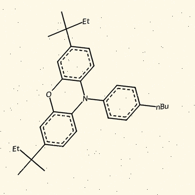 CCCCc1ccc(N2c3ccc(C(C)(C)CC)cc3Oc3cc(C(C)(C)CC)ccc32)cc1